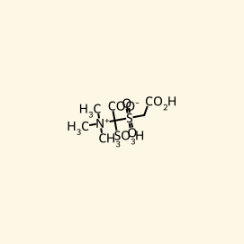 C[N+](C)(C)C(C(=O)[O-])(S(=O)(=O)O)S(=O)(=O)CC(=O)O